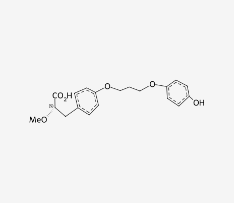 CO[C@@H](Cc1ccc(OCCCOc2ccc(O)cc2)cc1)C(=O)O